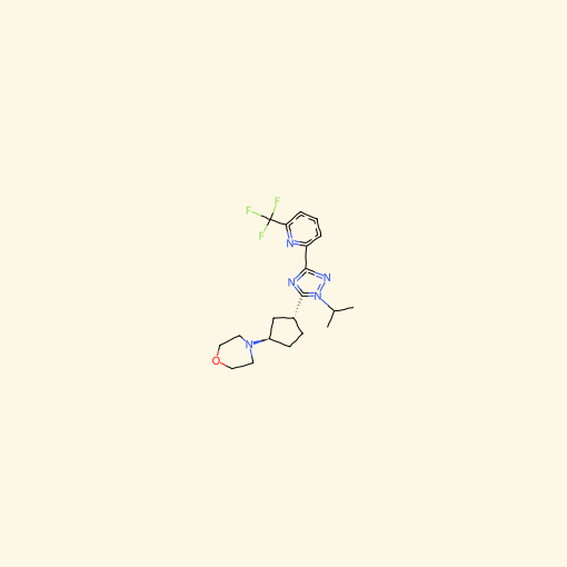 CC(C)n1nc(-c2cccc(C(F)(F)F)n2)nc1[C@@H]1CC[C@@H](N2CCOCC2)C1